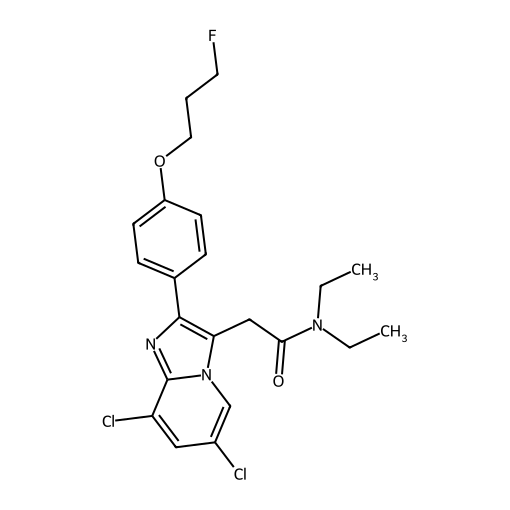 CCN(CC)C(=O)Cc1c(-c2ccc(OCCCF)cc2)nc2c(Cl)cc(Cl)cn12